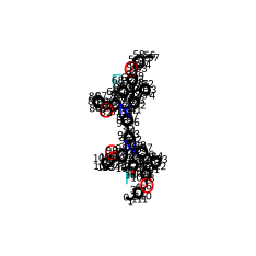 C=Cc1ccc(Oc2ccc(C3(c4ccc(C)c(F)c4)c4ccccc4-c4ccc(N(c5ccc(-c6ccc(N(c7ccc8c(c7)C(c7ccc(Oc9ccc(C=C)cc9)cc7)(c7ccc(C)c(F)c7)c7ccccc7-8)c7ccc8c(c7)oc7ccccc78)cc6)cc5)c5ccc6c(c5)oc5ccccc56)cc43)cc2)cc1